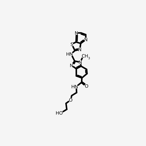 Cn1c(Nc2nc3nccnc3s2)nc2cc(C(=O)NCCOCCO)ccc21